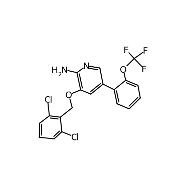 Nc1ncc(-c2ccccc2OC(F)(F)F)cc1OCc1c(Cl)cccc1Cl